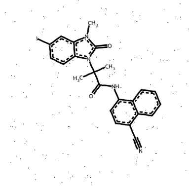 Cn1c(=O)n(C(C)(C)C(=O)Nc2ccc(C#N)c3ccccc23)c2ccc(I)cc21